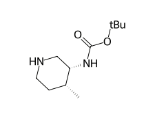 C[C@@H]1CCNC[C@@H]1NC(=O)OC(C)(C)C